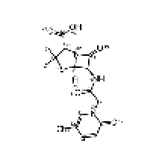 CC1(C)S[C@@H]2[C@H](NC(=O)Cn3cc(Cl)ccc3=O)C(=O)N2[C@H]1C(=O)O